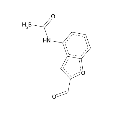 BC(=O)Nc1cccc2oc(C=O)cc12